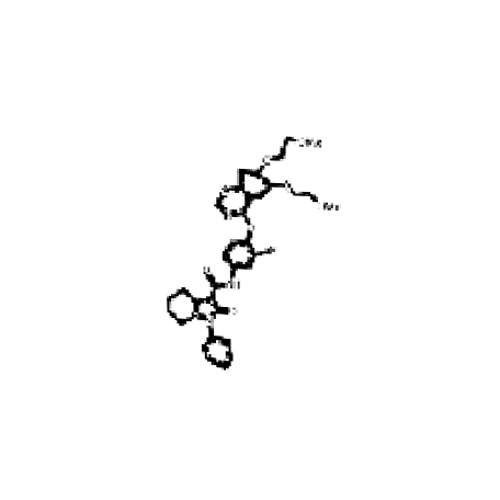 COCCOc1cc2ncnc(Oc3ccc(NC(=O)c4c5n(n(-c6ccccc6)c4=O)CCCC5)cc3F)c2cc1OCCOC